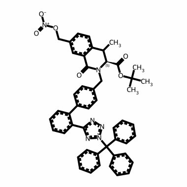 CC1c2ccc(CO[N+](=O)[O-])cc2C(=O)N(Cc2ccc(-c3ccccc3-c3nnn(C(c4ccccc4)(c4ccccc4)c4ccccc4)n3)cc2)[C@@H]1C(=O)OC(C)(C)C